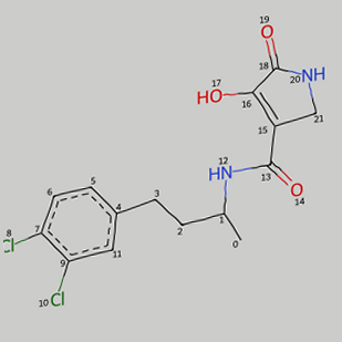 CC(CCc1ccc(Cl)c(Cl)c1)NC(=O)C1=C(O)C(=O)NC1